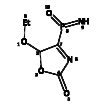 CCOC1OC(=O)N=C1P(=N)=O